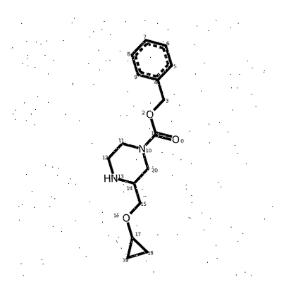 O=C(OCc1ccccc1)N1CCNC(COC2CC2)C1